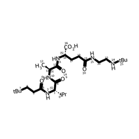 CC(C)[C@H](NC(=O)CCC(C)(C)C)C(=O)N[C@@H](C)C(=O)N[C@@H](CCC(=O)NCCNC(C)(C)C)C(=O)O